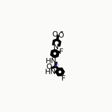 COC(=O)C1CCN(c2ccc(N/C=C3\C(=O)Nc4cc(F)ccc43)cc2F)CC1